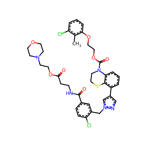 Cc1c(Cl)cccc1OCCOC(=O)N1CCSc2c(-c3cnn(Cc4cc(C(=O)NCCC(=O)OCCN5CCOCC5)ccc4Cl)c3)cccc21